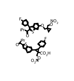 CC(C)C(=O)c1cc2ccc(C3C(c4ccc(F)cc4)C3(CO[N+](=O)[O-])C(=O)O)cc2s1.CC(C)C(=O)c1sc2cc(OCC3(CO[N+](=O)[O-])CC3)ccc2c1-c1ccc(F)cc1